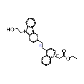 CCOC(=O)C[n+]1ccc(/C=C/c2ccc3c(c2)c2ccccc2n3CCO)c2ccccc21